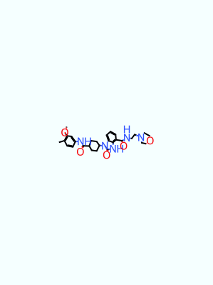 COc1cc(NC(=O)C2CCC(n3c(=O)[nH]c4c(C(=O)NCCN5CCOCC5)cccc43)CC2)ccc1C